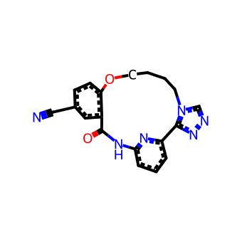 N#Cc1ccc2c(c1)C(=O)Nc1cccc(n1)-c1nncn1CCCCO2